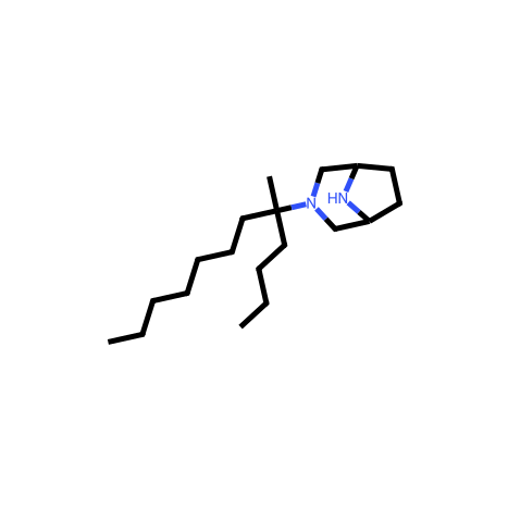 CCCCCCCC(C)(CCCC)N1CC2CCC(C1)N2